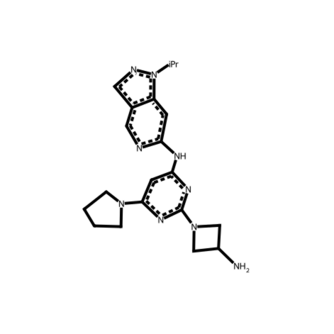 CC(C)n1ncc2cnc(Nc3cc(N4CCCC4)nc(N4CC(N)C4)n3)cc21